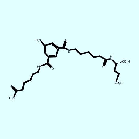 NC(=O)CCCCCNC(=O)c1cc(N)cc(C(=O)NCCCCCC(=O)N[C@@H](CCC(=O)O)C(=O)O)c1